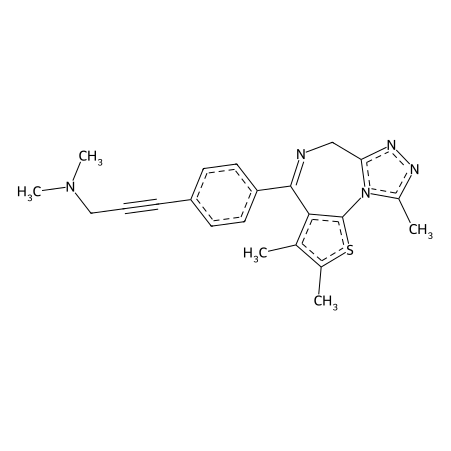 Cc1sc2c(c1C)C(c1ccc(C#CCN(C)C)cc1)=NCc1nnc(C)n1-2